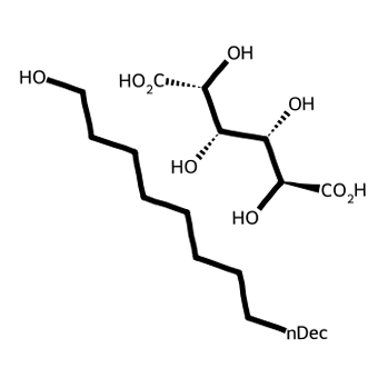 CCCCCCCCCCCCCCCCCCO.O=C(O)[C@@H](O)[C@@H](O)[C@H](O)[C@@H](O)C(=O)O